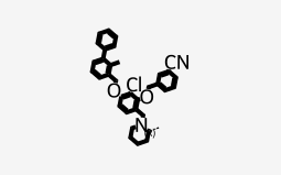 Cc1c(COc2ccc(CN3CCCC[C@H]3C)c(OCc3cccc(C#N)c3)c2Cl)cccc1-c1ccccc1